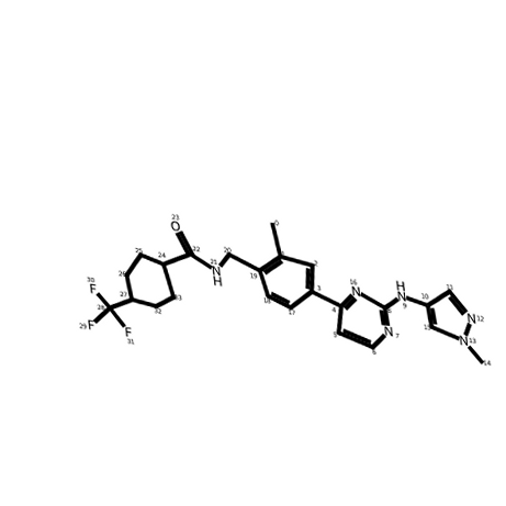 Cc1cc(-c2ccnc(Nc3cnn(C)c3)n2)ccc1CNC(=O)C1CCC(C(F)(F)F)CC1